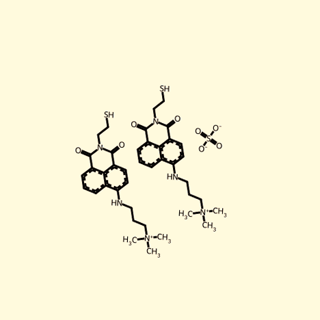 C[N+](C)(C)CCCNc1ccc2c3c(cccc13)C(=O)N(CCS)C2=O.C[N+](C)(C)CCCNc1ccc2c3c(cccc13)C(=O)N(CCS)C2=O.O=S(=O)([O-])[O-]